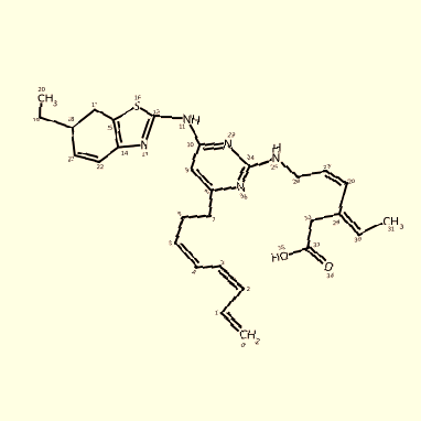 C=C/C=C\C=C/CCc1cc(Nc2nc3c(s2)CC(CC)C=C3)nc(NC/C=C\C(=C/C)CC(=O)O)n1